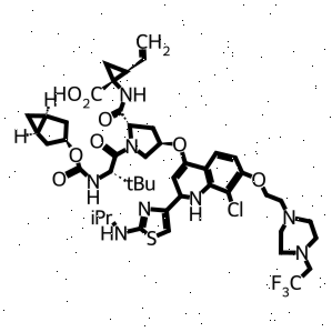 C=C[C@@H]1C[C@]1(NC(=O)[C@@H]1C[C@@H](OC2=CC(c3csc(NC(C)C)n3)Nc3c2ccc(OCCN2CCN(CC(F)(F)F)CC2)c3Cl)CN1C(=O)[C@@H](NC(=O)O[C@@H]1C[C@@H]2C[C@@H]2C1)C(C)(C)C)C(=O)O